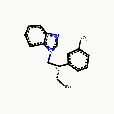 CC(C)(C)C[C@H](Cn1cnc2ccccc21)c1[c]ccc([N+](=O)[O-])c1